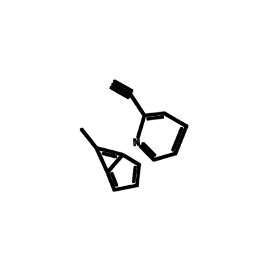 C#Cc1ccccn1.Cc1c2cccc1-2